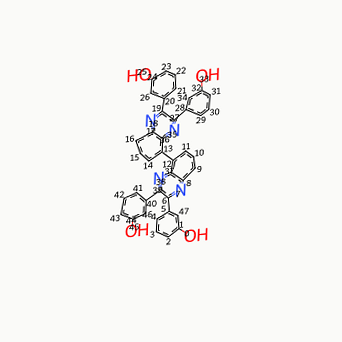 Oc1cccc(-c2nc3cccc(-c4cccc5nc(-c6cccc(O)c6)c(-c6cccc(O)c6)nc45)c3nc2-c2cccc(O)c2)c1